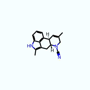 CC1=C[C@@H]2c3cccc4[nH]c(C)c(c34)C[C@H]2N(C#N)C1